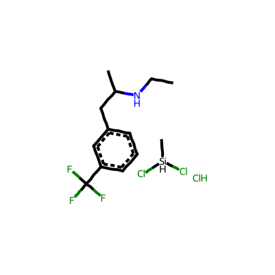 CCNC(C)Cc1cccc(C(F)(F)F)c1.C[SiH](Cl)Cl.Cl